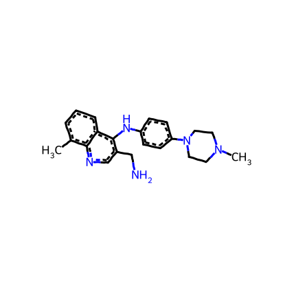 Cc1cccc2c(Nc3ccc(N4CCN(C)CC4)cc3)c(CN)cnc12